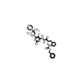 CC(C)(CNc1nc(Cl)nc(NNC(=O)[C@@H](CNC(=O)OCc2ccccc2)CC2CCCC2)c1F)N1CCOCC1